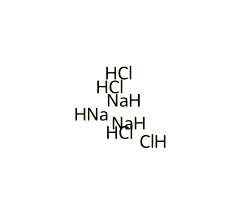 Cl.Cl.Cl.Cl.[NaH].[NaH].[NaH]